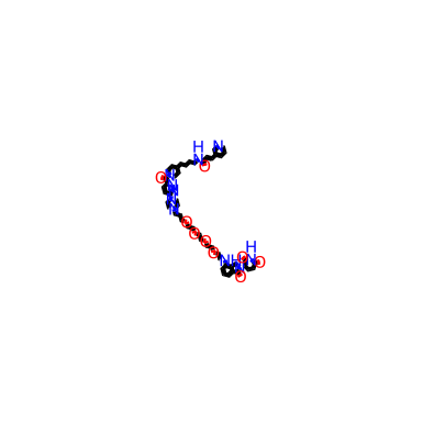 O=C(/C=C/c1cccnc1)NCCCCC1CCN(C(=O)c2ccc(N3CCN(CCCOCCOCCOCCOCCNc4cccc5c4CN(C4CCC(=O)NC4=O)C5=O)CC3)nn2)CC1